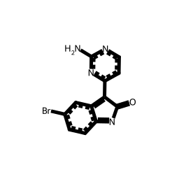 Nc1nccc(C2=c3cc(Br)ccc3=NC2=O)n1